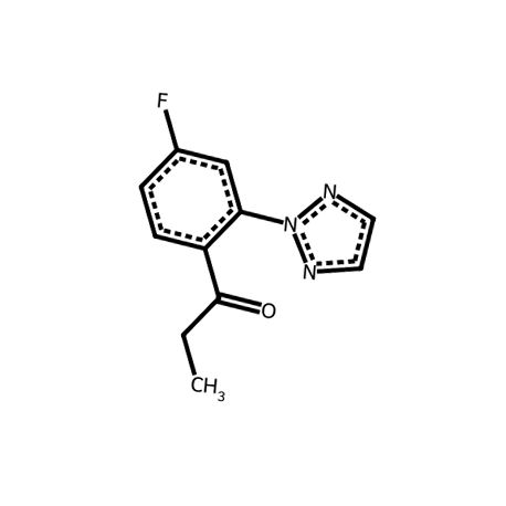 CCC(=O)c1ccc(F)cc1-n1nccn1